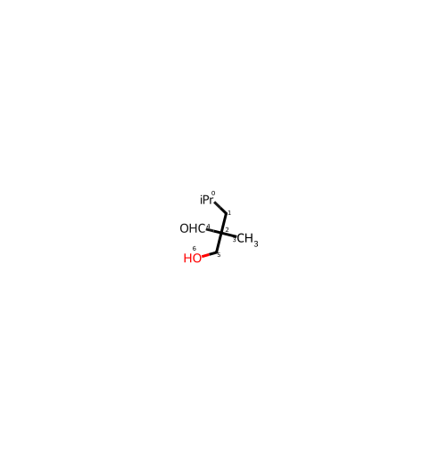 CC(C)CC(C)(C=O)CO